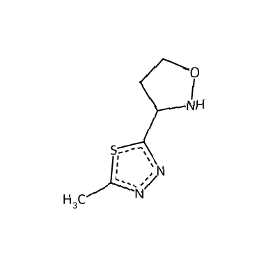 Cc1nnc(C2CCON2)s1